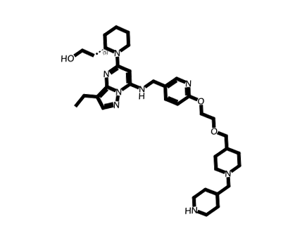 CCc1cnn2c(NCc3ccc(OCCOCC4CCN(CC5CCNCC5)CC4)nc3)cc(N3CCCC[C@H]3CCO)nc12